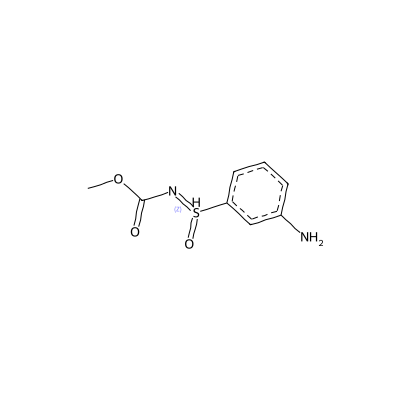 COC(=O)/N=[SH](=O)/c1cccc(N)c1